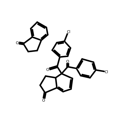 O=C1CCC2C1=CC=CC2(C(=O)c1ccc(Cl)cc1)C(=O)c1ccc(Cl)cc1.O=C1CCc2ccccc21